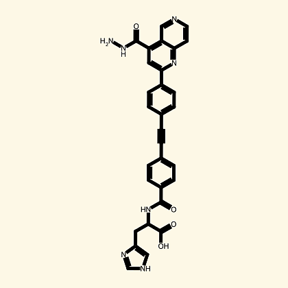 NNC(=O)c1cc(-c2ccc(C#Cc3ccc(C(=O)NC(Cc4c[nH]cn4)C(=O)O)cc3)cc2)nc2ccncc12